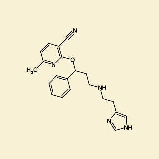 Cc1ccc(C#N)c(OC(CCNCCc2c[nH]cn2)c2ccccc2)n1